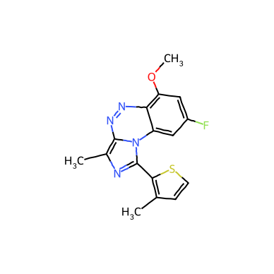 COc1cc(F)cc2c1nnc1c(C)nc(-c3sccc3C)n12